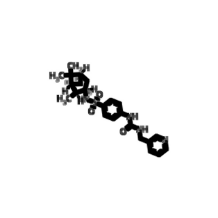 C[C@H]1[C@H]2C[C@H](C[C@H]1NS(=O)(=O)c1ccc(NC(=O)NCc3cccnc3)cc1)C2(C)C